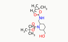 CC(C)(C)OC(=O)NCC1CCC(CO)CN1C(=O)OC(C)(C)C